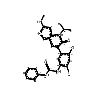 CNc1cc2c(cn1)cc(-c1cc(NC(=O)Nc3ccccc3)c(F)cc1Cl)c(=O)n2C(C)C